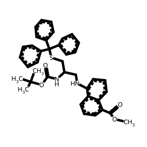 COC(=O)c1cccc2c(NCC(CSC(c3ccccc3)(c3ccccc3)c3ccccc3)NC(=O)OC(C)(C)C)cccc12